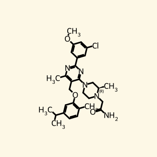 COc1cc(Cl)cc(-c2nc(C)c(COc3cc(C(C)C)ccc3C)c(N3CCN(CC(N)=O)[C@H](C)C3)n2)c1